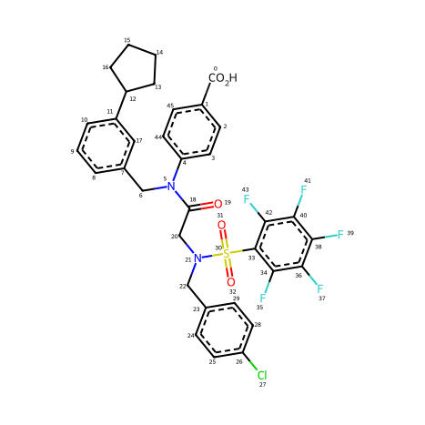 O=C(O)c1ccc(N(Cc2cccc(C3CCCC3)c2)C(=O)CN(Cc2ccc(Cl)cc2)S(=O)(=O)c2c(F)c(F)c(F)c(F)c2F)cc1